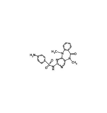 CN1C(=O)c2ccccc2N(C)c2nc(NS(=O)(=O)c3ccc(N)cc3)ncc21